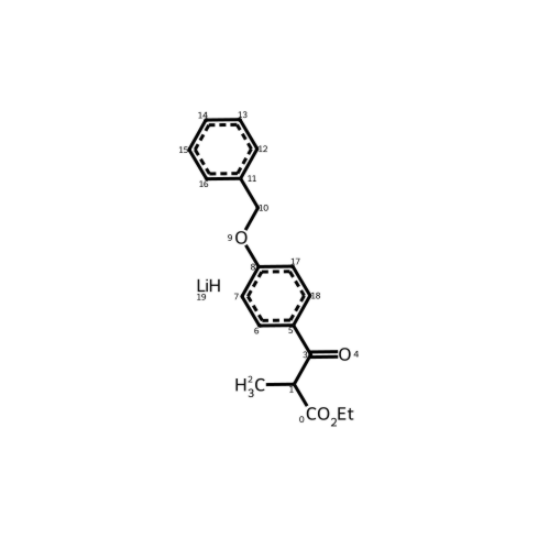 CCOC(=O)C(C)C(=O)c1ccc(OCc2ccccc2)cc1.[LiH]